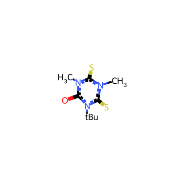 Cn1c(=S)n(C)c(=S)n(C(C)(C)C)c1=O